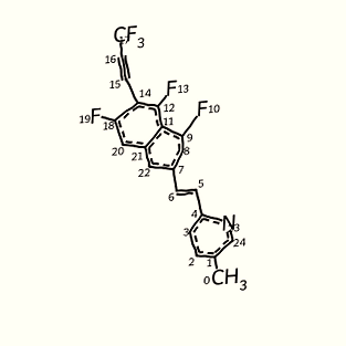 Cc1ccc(/C=C/c2cc(F)c3c(F)c(C#CC(F)(F)F)c(F)cc3c2)nc1